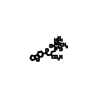 CC1(C)NC(=O)N(CCC(CC(=O)c2ccc3c4c(oc3c2)CCC4)C(=O)O)C1=O